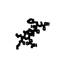 CCCCC(=O)N(CCC)C(CC(OC(=O)NC)c1nc(C(=O)NC(Cc2ccccc2)CC(C)C(=O)O)cs1)C(C)C